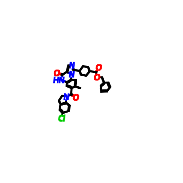 Cc1cc2c(cc1C(=O)N1CCc3cc(Cl)ccc31)[nH]c(=O)c1cnc(C3CCC(C(=O)OCc4ccccc4)CC3)n12